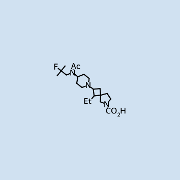 CCC1C(N2CCC(N(CC(C)(C)F)C(C)=O)CC2)CC12CCN(C(=O)O)C2